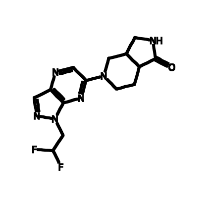 O=C1NCC2CN(c3cnc4cnn(CC(F)F)c4n3)CCC12